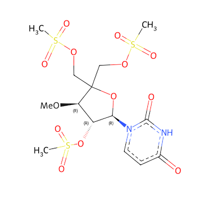 CO[C@@H]1[C@@H](OS(C)(=O)=O)[C@H](n2ccc(=O)[nH]c2=O)OC1(COS(C)(=O)=O)COS(C)(=O)=O